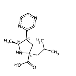 CC(C)C[C@@]1(C(=O)O)C[C@H](c2cnccn2)[C@H](C)N1